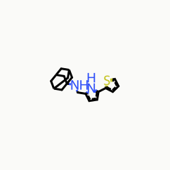 c1csc(-c2ccc(CNC34CC5CC(CC(C5)C3)C4)[nH]2)c1